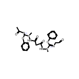 CC(=O)/N=C(\Oc1ccccc1)N(C)NC(=O)CC(=O)NN(C)/C(=N/CC=O)Oc1ccccc1